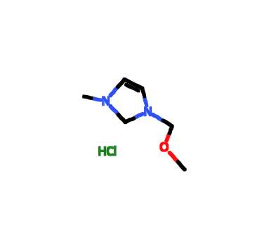 COCN1C=CN(C)C1.Cl